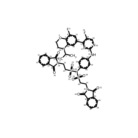 CC(C)N1CCOc2c(F)cc(-c3nc(Nc4ccc(N(S(=O)(=O)CCN5C(=O)c6ccccc6C5=O)S(=O)(=O)CCN5C(=O)c6ccccc6C5=O)cc4)ncc3F)cc21